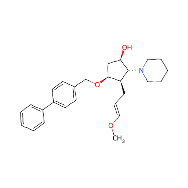 COC=CC[C@@H]1[C@@H](N2CCCCC2)[C@H](O)C[C@@H]1OCc1ccc(-c2ccccc2)cc1